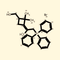 CC(C[P+](c1ccccc1)(c1ccccc1)c1ccccc1)=C1CC(CO)C1(C)C.[Br-]